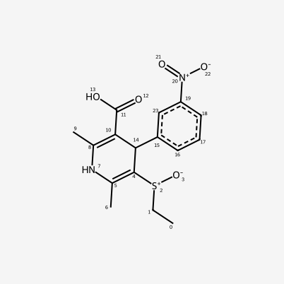 CC[S+]([O-])C1=C(C)NC(C)=C(C(=O)O)C1c1cccc([N+](=O)[O-])c1